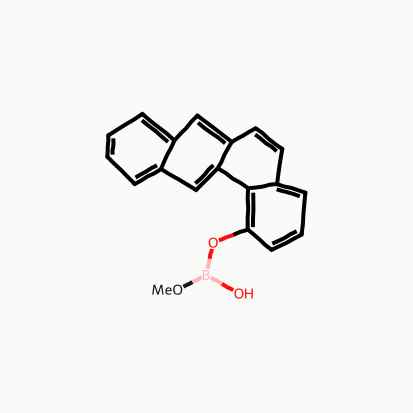 COB(O)Oc1cccc2ccc3cc4ccccc4cc3c12